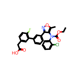 CCOC(=O)N(c1ccccc1Cl)c1c(-c2cccc(-c3cc(CC(=O)O)ccc3F)c2)noc1C